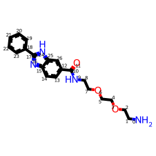 NCCOCCOCCNC(=O)c1ccc2nc(-c3ccccc3)[nH]c2c1